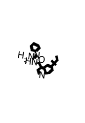 CCC(C)(C)c1ccc2nccc(C(=O)NC(N)=Nc3ccccc3)c2c1